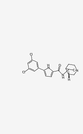 O=C(N[C@H]1CN2CCC1CC2)c1ccc(-c2cc(Cl)cc(Cl)c2)[nH]1